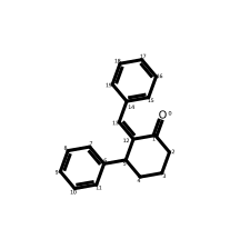 O=C1CCCC(c2ccccc2)/C1=C/c1ccccc1